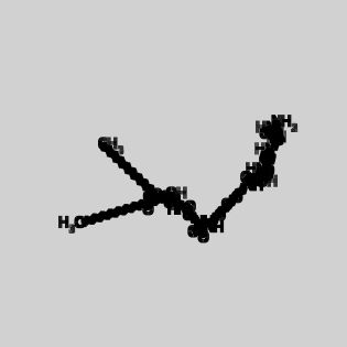 CCCCCCCCCCCCCCCCCC(=O)OCC(COP(=O)(O)OCCNC(=O)OCCNc1c(NCCCOCCOCCOCCCNC(=O)CC[C@H](NC(=O)c2ccc(NCc3cnc4nc(N)[nH]c(=O)c4n3)cc2)C(=O)O)c(=O)c1=O)OC(=O)CCCCCCCCCCCCCCCCC